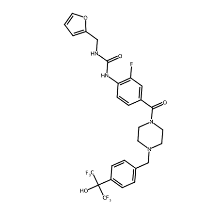 O=C(NCc1ccco1)Nc1ccc(C(=O)N2CCN(Cc3ccc(C(O)(C(F)(F)F)C(F)(F)F)cc3)CC2)cc1F